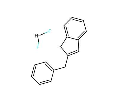 [CH]1C(Cc2ccccc2)=Cc2ccccc21.[F][Hf][F]